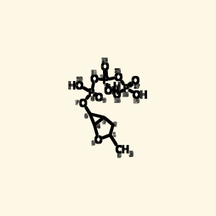 CC1CC2C(O1)C2OP(=O)(O)OP(=O)(O)OP(=O)(O)O